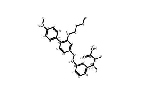 CCCCOc1cc(COc2cccc([C@H](C)C(C)C(=O)O)c2)ccc1-c1ccc(OC)cc1